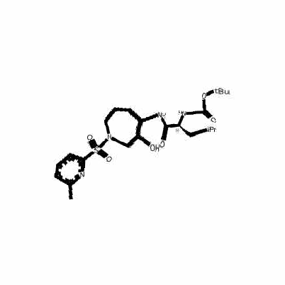 Cc1cccc(S(=O)(=O)N2CCCC(NC(=O)[C@H](CC(C)C)NC(=O)OC(C)(C)C)C(O)C2)n1